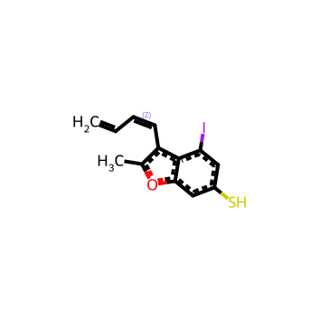 C=C/C=C\c1c(C)oc2cc(S)cc(I)c12